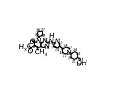 CC(=O)c1c(C)c2cnc(Nc3ccc(C4CCN(C5CCC(CO)CC5)CC4)cn3)nc2n(C2CCCC2)c1=O